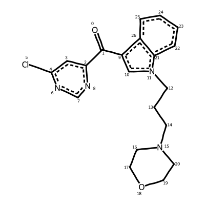 O=C(c1cc(Cl)ncn1)c1cn(CCCN2CCOCC2)c2ccccc12